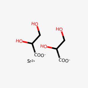 O=C([O-])C(O)CO.O=C([O-])C(O)CO.[Sr+2]